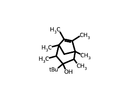 CC1=C(C)C2(C)CC1(C)C(C)C(O)(C(C)(C)C)C2C